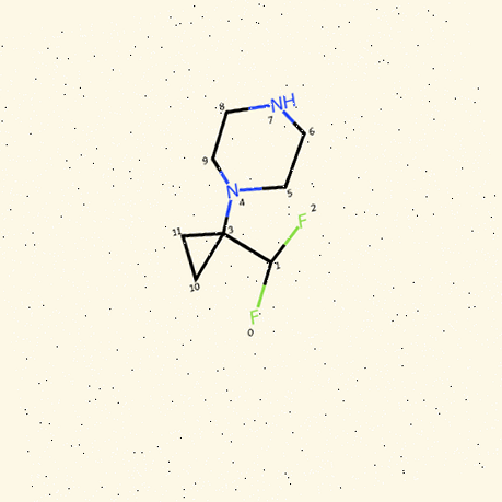 FC(F)C1(N2CCNCC2)CC1